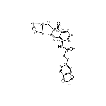 O=C(CCc1ccc2c(c1)OCO2)Nc1cccc2c(=O)n(CC3CCOCC3)ccc12